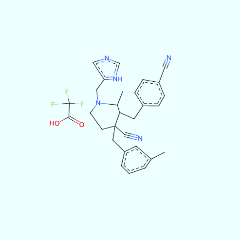 Cc1cccc(CC2(C#N)CCN(Cc3cnc[nH]3)C(C)C2Cc2ccc(C#N)cc2)c1.O=C(O)C(F)(F)F